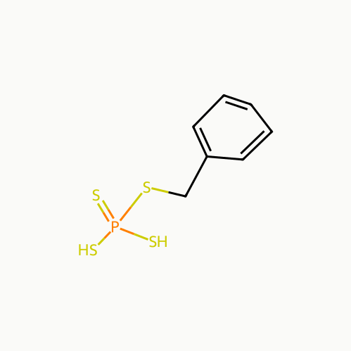 S=P(S)(S)SCc1ccccc1